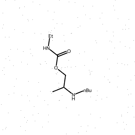 CCCCNC(C)COC(=O)NCC